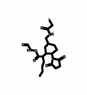 CCCCC(C(=O)ONC=O)C1CC(CNC(=O)CI)CCC1N1C(=O)CCC1=O